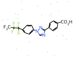 O=C(O)c1ccc(-c2ncn(-c3ccc(C(F)(F)C(F)(F)C(F)(F)F)cc3)n2)cc1